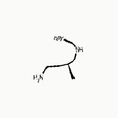 CCCN[C@@H](C)CN